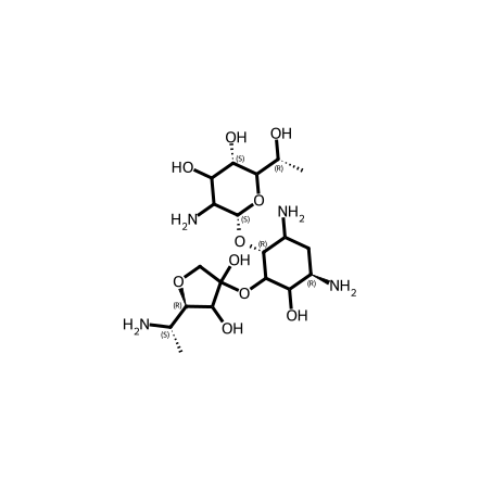 C[C@H](N)[C@H]1OCC(O)(OC2C(O)[C@H](N)CC(N)[C@H]2O[C@H]2OC([C@@H](C)O)[C@@H](O)C(O)C2N)C1O